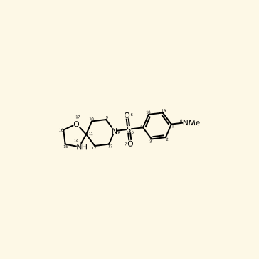 CNc1ccc(S(=O)(=O)N2CCC3(CC2)NCCO3)cc1